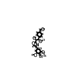 COc1cc(-c2coc(C(=O)C(OC)c3ccc(C=O)cc3)n2)cc(OC)c1Br